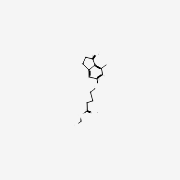 CCOC(=O)CCCOc1cc(F)c2c(c1)CCC2=O